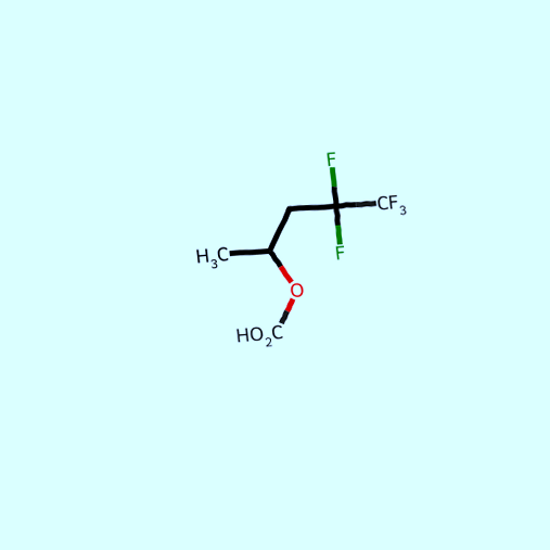 CC(CC(F)(F)C(F)(F)F)OC(=O)O